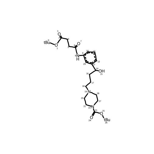 CC(C)(C)OC(=O)CCC(=O)Nc1cccc(C(O)CCCN2CCN(C(=O)OC(C)(C)C)CC2)c1